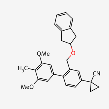 COc1cc(-c2ccc(C3(C#N)CC3)cc2COC2Cc3ccccc3C2)cc(OC)c1C